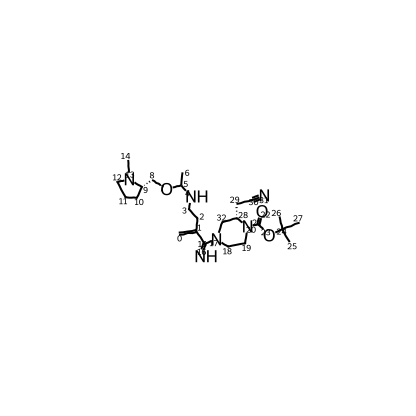 C=C(CCNC(C)OC[C@@H]1CCCN1C)C(=N)N1CCN(C(=O)OC(C)(C)C)[C@@H](CC#N)C1